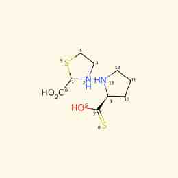 O=C(O)C1NCCS1.OC(=S)[C@@H]1CCCN1